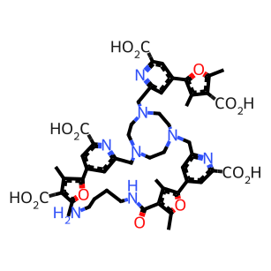 Cc1oc(-c2cc(CN3CCN(Cc4cc(-c5oc(C)c(C(=O)O)c5C)cc(C(=O)O)n4)CCN(Cc4cc(-c5oc(C)c(C(=O)NCCCCN)c5C)cc(C(=O)O)n4)CC3)nc(C(=O)O)c2)c(C)c1C(=O)O